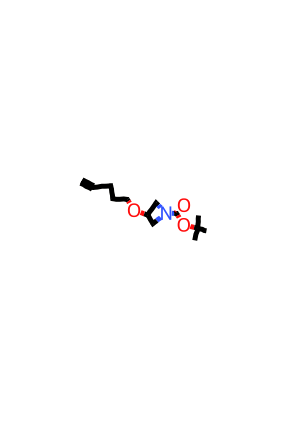 C#CCCCOC1CN(C(=O)OC(C)(C)C)C1